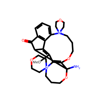 COC1=C2c3c4cccc3[N+]3(CCCOC5=C1[N+]1(CCCOC5(N)C2C4=O)CCOCC1)CCOCC3